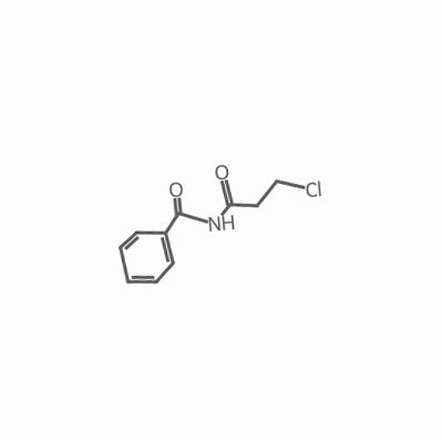 O=C(CCCl)NC(=O)c1ccccc1